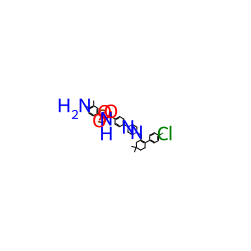 Cc1cc(S(=O)(=O)NC(=O)c2ccc(N3CCN(CC4=C(c5ccc(Cl)cc5)CCC(C)(C)C4)CC3)cc2)ccc1N